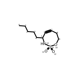 CCCCCC1C#CCCOS(=O)(=O)N1